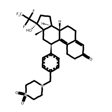 C[C@]12C[C@H](c3ccc(CN4CCS(=O)(=O)CC4)cc3)C3=C4CCC(=O)C=C4CC[C@H]3[C@@H]1CC[C@]2(O)C(F)(F)C(F)(F)F